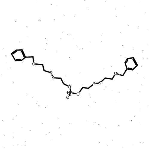 O=[PH](OCCSSCCOCc1ccccc1)OCCSSCCOCc1ccccc1